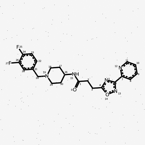 O=C(CCc1nc(-c2ccccn2)no1)NC1CCN(Cc2ccc(F)c(F)c2)CC1